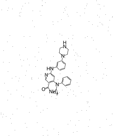 NC(=O)c1cnc(Nc2cccc(N3CCNCC3)c2)cc1N(c1ccccc1)C1CC1